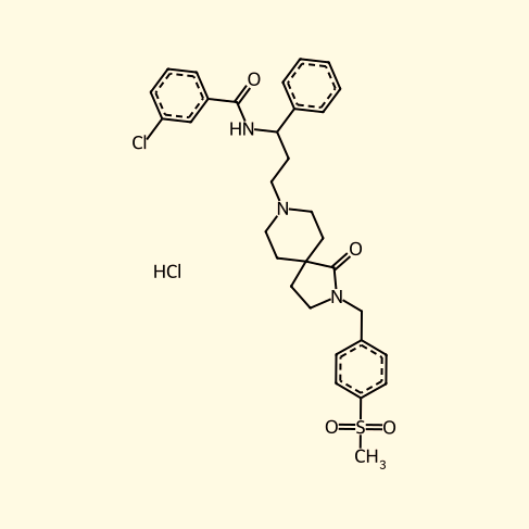 CS(=O)(=O)c1ccc(CN2CCC3(CCN(CCC(NC(=O)c4cccc(Cl)c4)c4ccccc4)CC3)C2=O)cc1.Cl